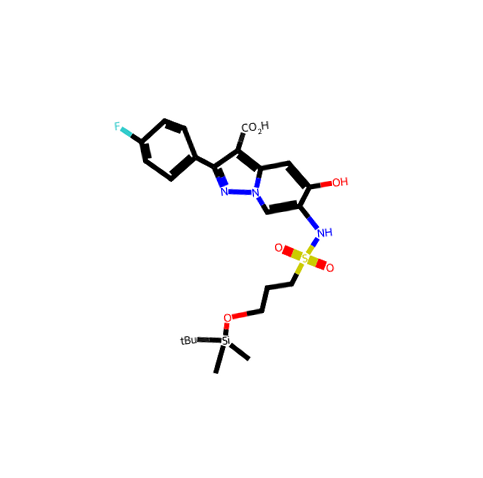 CC(C)(C)[Si](C)(C)OCCCS(=O)(=O)Nc1cn2nc(-c3ccc(F)cc3)c(C(=O)O)c2cc1O